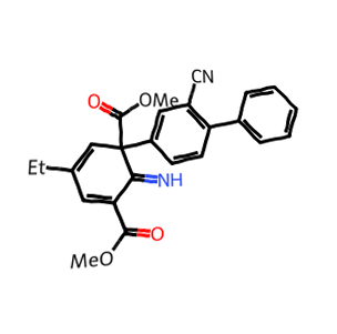 CCC1=CC(C(=O)OC)(c2ccc(-c3ccccc3)c(C#N)c2)C(=N)C(C(=O)OC)=C1